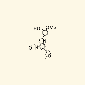 COc1ccc(-c2ccc3c(N4CCOCC4)nc(N4CC(C)OC(C)C4)nc3n2)cc1CO